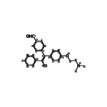 CCC(=C(c1ccc(C=O)cc1)c1ccc(OCCN(C)C)cc1)c1ccccc1